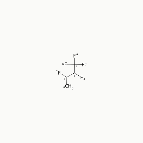 CC(F)C(F)C(F)(F)F